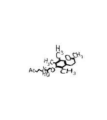 CC(=O)CCCNC(=O)COc1c(C)c(C)c2c(c1C)CCC(C)O2